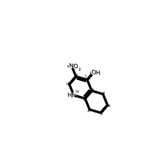 O=[N+]([O-])C1=C(O)C2=C(CCCC2)NC1